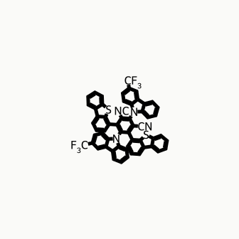 N#Cc1c(-c2cccc3c2sc2ccccc23)c(-n2c3ccccc3c3cc(C(F)(F)F)ccc32)c(-c2cccc3c2sc2ccccc23)c(C#N)c1-n1c2ccccc2c2cc(C(F)(F)F)ccc21